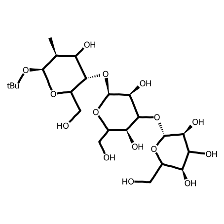 C[C@H]1C(O)[C@H](O[C@@H]2OC(CO)[C@H](O)C(O[C@H]3OC(CO)[C@H](O)C(O)[C@@H]3O)[C@@H]2O)C(CO)O[C@H]1OC(C)(C)C